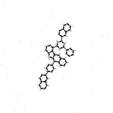 c1ccc(-c2nc(-c3ccc4ccccc4c3)nc(-c3cccc4oc5c(-c6ccc(-c7ccc8ccccc8c7)cc6)c6ccccc6cc5c34)n2)cc1